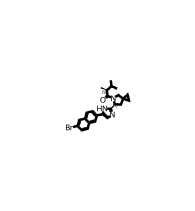 CC(C)[C@H](C)C(=O)N1CC2(CC2)C[C@H]1c1ncc(-c2ccc3cc(Br)ccc3c2)[nH]1